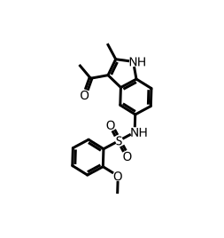 COc1ccccc1S(=O)(=O)Nc1ccc2[nH]c(C)c(C(C)=O)c2c1